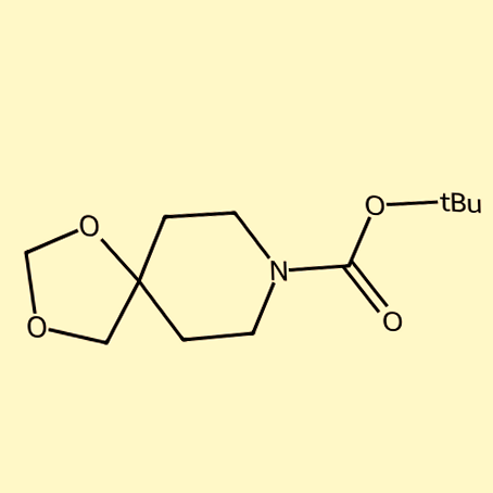 CC(C)(C)OC(=O)N1CCC2(CC1)COCO2